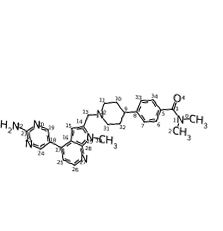 CN(C)C(=O)c1ccc(C2CCN(Cc3cc4c(-c5cnc(N)nc5)ccnc4n3C)CC2)cc1